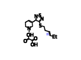 CC/C=C/CCSc1nsnc1C1=CCCN(C)C1.O=C(O)C(=O)O